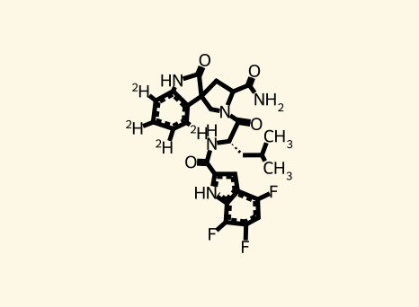 [2H]c1c([2H])c([2H])c2c(c1[2H])NC(=O)C21CC(C(N)=O)N(C(=O)[C@H](CC(C)C)NC(=O)c2cc3c(F)cc(F)c(F)c3[nH]2)C1